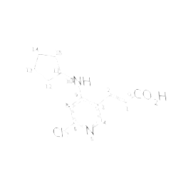 O=C(O)/C=C/c1cnc(Cl)cc1NC1CCCC1